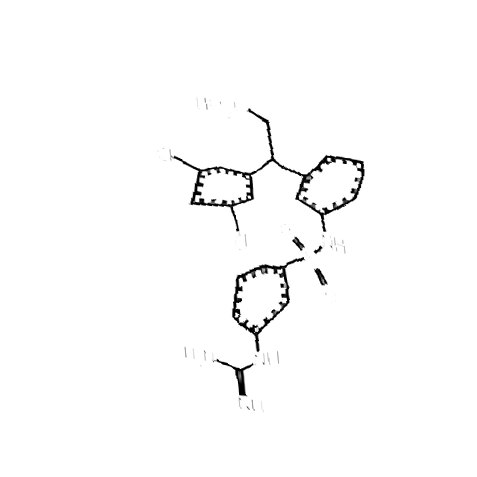 N=C(N)Nc1cccc(S(=O)(=O)Nc2cccc(C(CC(=O)O)c3cc(Cl)cc(Cl)c3)c2)c1